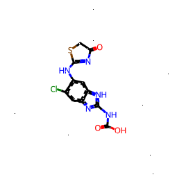 O=C1CSC(Nc2cc3[nH]c(NC(=O)O)nc3cc2Cl)=N1